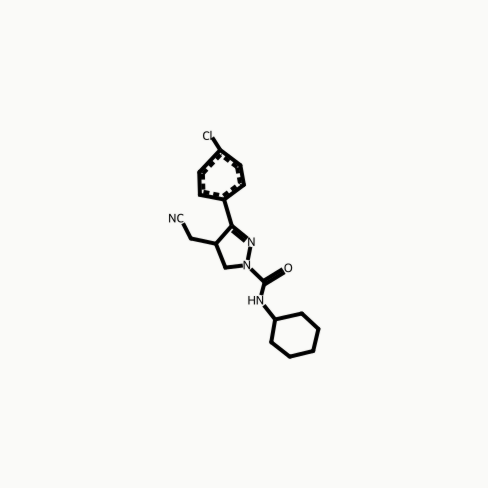 N#CCC1CN(C(=O)NC2CCCCC2)N=C1c1ccc(Cl)cc1